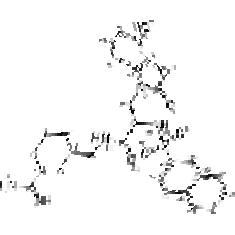 Cl.N=C(N)N1CCC[C@@H](CNC(=O)[C@@H](Cn2c(=O)oc3ccccc32)NS(=O)(=O)c2ccc3ccccc3c2)C1